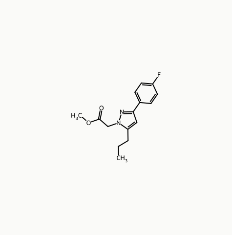 CCCc1cc(-c2ccc(F)cc2)nn1CC(=O)OC